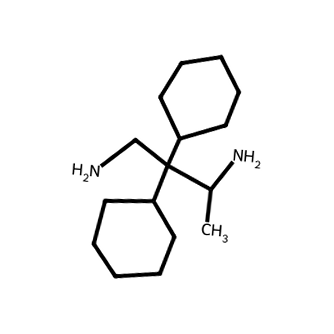 CC(N)C(CN)(C1CCCCC1)C1CCCCC1